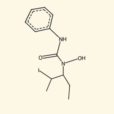 CCC(C(C)I)N(O)C(=O)Nc1ccccc1